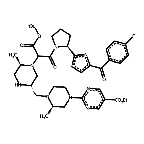 CCOC(=O)c1cnc(N2CCN(C[C@H]3CN(C(C(=O)OC(C)(C)C)C(=O)N4CCC[C@H]4c4nc(C(=O)c5ccc(F)cc5)cs4)[C@H](C)CN3)[C@H](C)C2)nc1